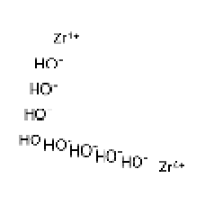 [OH-].[OH-].[OH-].[OH-].[OH-].[OH-].[OH-].[OH-].[Zr+4].[Zr+4]